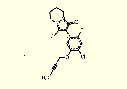 CC#CCOc1cc(-c2c(Cl)n3n(c2=O)CCCC3)c(F)cc1Cl